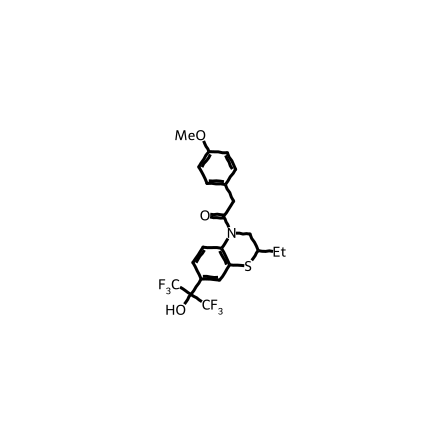 CCC1CN(C(=O)Cc2ccc(OC)cc2)c2ccc(C(O)(C(F)(F)F)C(F)(F)F)cc2S1